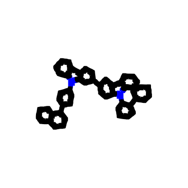 c1ccc(-c2ccccc2-n2c3ccccc3c3cc(-c4ccc5c6ccccc6n(-c6ccc(-c7cccc8ccccc78)cc6)c5c4)ccc32)cc1